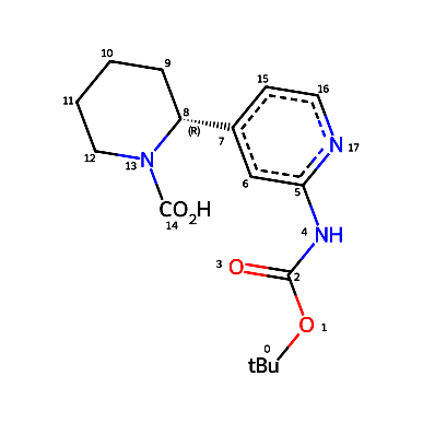 CC(C)(C)OC(=O)Nc1cc([C@H]2CCCCN2C(=O)O)ccn1